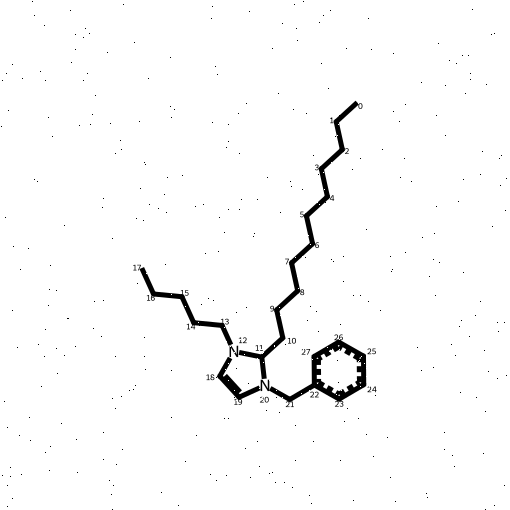 CCCCCCCCCCCC1N(CCCCC)C=CN1Cc1ccccc1